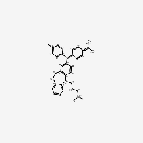 CC[N+](CC)=C1C=CC(=C(c2ccc(C)cc2)c2ccc3c(c2)CCc2ccccc2N3CCCN(C)C)C=C1